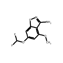 COc1cc(OC(F)F)cc2onc(N)c12